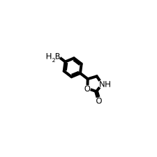 Bc1ccc(C2CNC(=O)O2)cc1